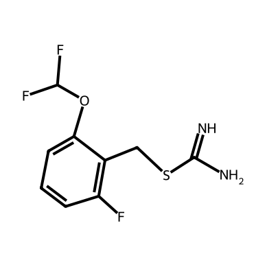 N=C(N)SCc1c(F)cccc1OC(F)F